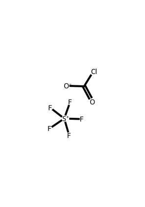 F[S+](F)(F)(F)F.O=C([O-])Cl